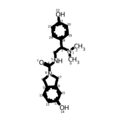 CN(C)C(CNC(=O)N1Cc2ccc(O)cc2C1)c1ccc(O)cc1